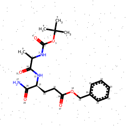 CC(NC(=O)OC(C)(C)C)C(=O)N[C@@H](CCC(=O)OCc1ccccc1)C(N)=O